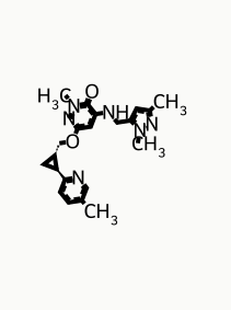 Cc1ccc([C@H]2C[C@@H]2COc2cc(NCc3cc(C)nn3C)c(=O)n(C)n2)nc1